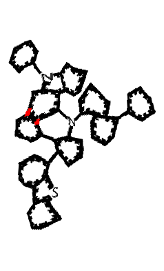 c1ccc(-c2c(-c3cccc4c3sc3ccccc34)cccc2N(c2cccc3c(-c4ccccc4)cccc23)c2cccc3c2c2ccccc2n3-c2ccccc2)cc1